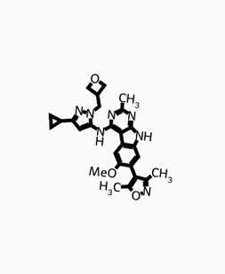 COc1cc2c(cc1-c1c(C)noc1C)[nH]c1nc(C)nc(Nc3cc(C4CC4)nn3CC3COC3)c12